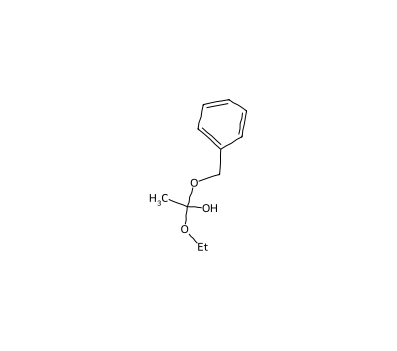 CCOC(C)(O)OCc1ccccc1